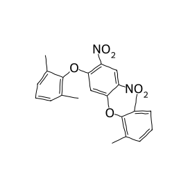 Cc1cccc(C)c1Oc1cc(Oc2c(C)cccc2C)c([N+](=O)[O-])cc1[N+](=O)[O-]